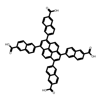 O=C(O)c1ccc2cc(-c3cc(-c4ccc5cc(C(=O)O)ccc5c4)c4ccc5c(-c6ccc7cc(C(=O)O)ccc7c6)cc(-c6ccc7cc(C(=O)O)ccc7c6)c6ccc3c4c65)ccc2c1